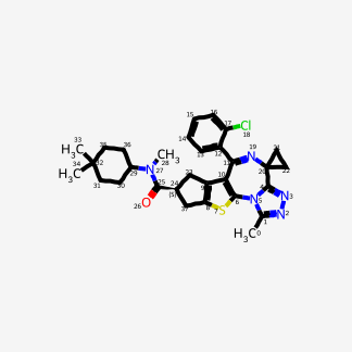 Cc1nnc2n1-c1sc3c(c1C(c1ccccc1Cl)=NC21CC1)C[C@H](C(=O)N(C)C1CCC(C)(C)CC1)C3